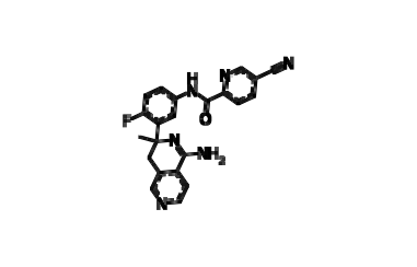 CC1(c2cc(NC(=O)c3ccc(C#N)cn3)ccc2F)Cc2cnccc2C(N)=N1